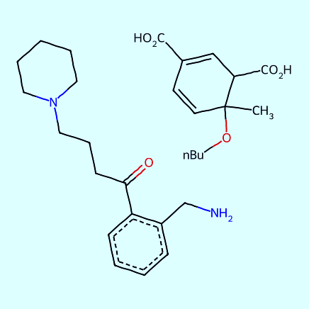 CCCCOC1(C)C=CC(C(=O)O)=CC1C(=O)O.NCc1ccccc1C(=O)CCCN1CCCCC1